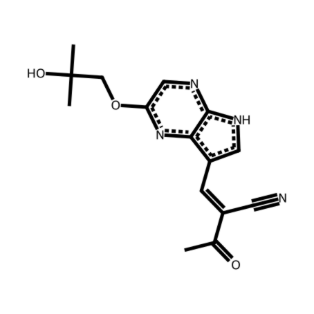 CC(=O)/C(C#N)=C/c1c[nH]c2ncc(OCC(C)(C)O)nc12